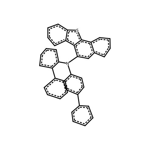 c1ccc(-c2ccc(N(c3ccccc3-c3ccccc3)c3cc4ccccc4c4sc5ccccc5c34)cc2)cc1